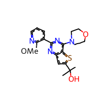 COc1ncccc1-c1nc(N2CCOCC2)c2sc(C(C)(C)O)cc2n1